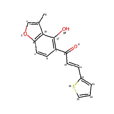 Cc1coc2ccc(C(=O)/C=C/c3cccs3)c(O)c12